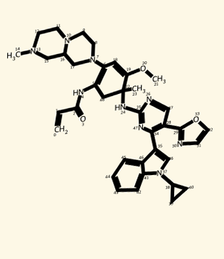 C=CC(=O)NC1=C(N2CCN3CCN(C)CC3C2)C=C(OC)C(C)(Nc2ncc(-c3ncco3)c(-c3cn(C4CC4)c4ccccc34)n2)C1